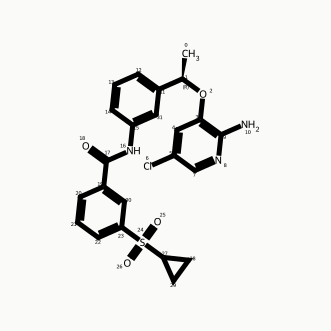 C[C@@H](Oc1cc(Cl)cnc1N)c1cccc(NC(=O)c2cccc(S(=O)(=O)C3CC3)c2)c1